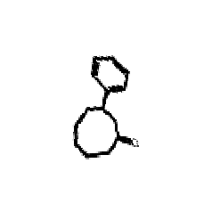 O=C1CCCCCC(c2ccccc2)C1